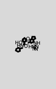 O=C(NCC1CCCCC1)c1cc(Oc2c(Cl)cc(Nc3nnn[nH]3)c3c2CCC3)ccc1O